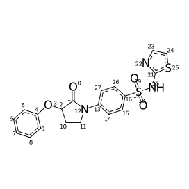 O=C1C(Oc2ccccc2)CCN1c1ccc(S(=O)(=O)Nc2nccs2)cc1